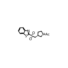 CC(=O)N1CC[C@H](CS(=O)(=O)c2nc3ccccc3s2)C1